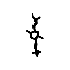 CCN(C)C=Nc1cc(C)c(C#C[Si](C)(C)C)cc1C